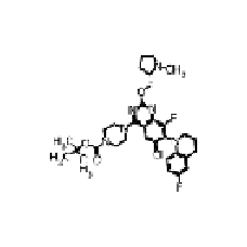 CN1CCC[C@H]1COc1nc(N2CCN(C(=O)OC(C)(C)C)CC2)c2cc(Cl)c(N3CCCc4cc(F)ccc43)c(F)c2n1